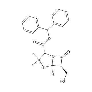 CC1(C)S[C@@H]2[C@H](CO)C(=O)N2[C@H]1C(=O)OC(c1ccccc1)c1ccccc1